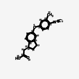 [C-]#[N+]c1ccc(Oc2ccc3c(c2)CC[C@H]3CC(=O)O)cc1C